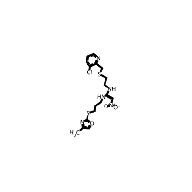 Cc1coc(SCCCNC(=C[N+](=O)[O-])NCCSCc2ncccc2Cl)n1